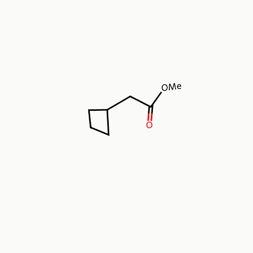 [CH2]OC(=O)CC1CCC1